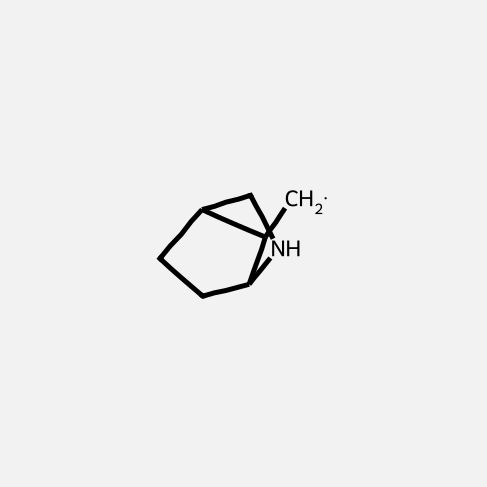 [CH2]C1C2CCC1NC2